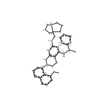 CCc1cccc2cccc(N3CCc4c(nc(OCC56CCCN5CCC6)nc4NC(C)c4ncccn4)C3)c12